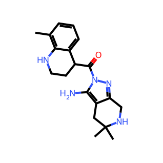 Cc1cccc2c1NCCC2C(=O)n1nc2c(c1N)CC(C)(C)NC2